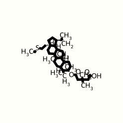 C=C(C)[C@@H]1CC[C@]2(CCSCC)CC[C@]3(C)[C@H](CC[C@@H]4[C@@]5(C)CC[C@H](OC(=O)CC(C)(C)CC(=O)O)C(C)(C)[C@@H]5CC[C@]43C)[C@@H]12